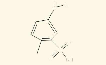 Cc1ccc(NC(C)C)cc1S(N)(=O)=O